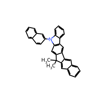 CC1(C)c2cc3ccccc3cc2-c2cc3c4ccccc4n(-c4ccc5ccccc5c4)c3cc21